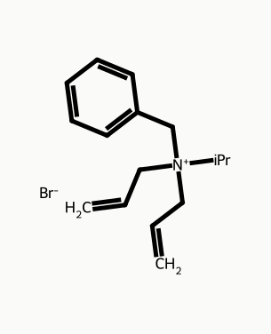 C=CC[N+](CC=C)(Cc1ccccc1)C(C)C.[Br-]